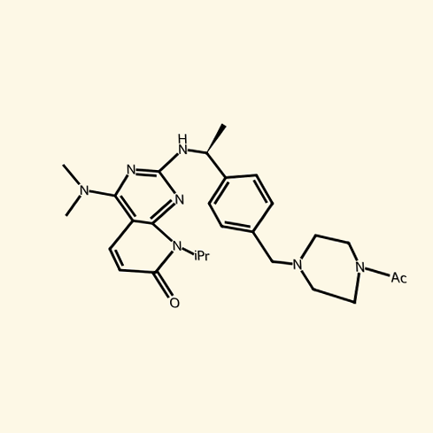 CC(=O)N1CCN(Cc2ccc([C@H](C)Nc3nc(N(C)C)c4ccc(=O)n(C(C)C)c4n3)cc2)CC1